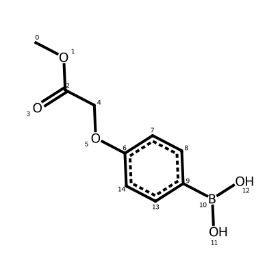 COC(=O)COc1ccc(B(O)O)cc1